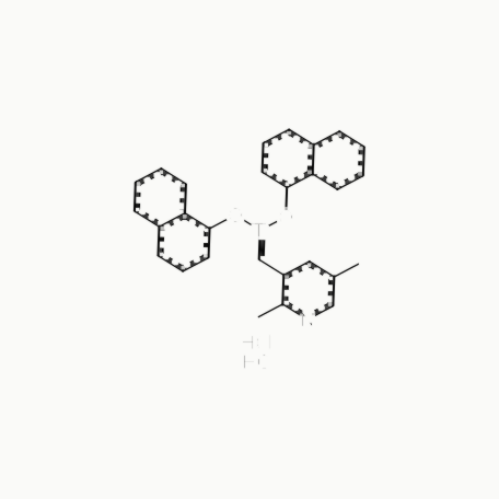 Cc1cnc(C)c([CH]=[Ti]([O]c2cccc3ccccc23)[O]c2cccc3ccccc23)c1.Cl.Cl